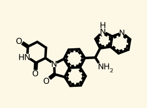 NC(c1c[nH]c2ncccc12)c1ccc2c3c(cccc13)C(=O)N2C1CCC(=O)NC1=O